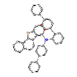 c1ccc(-c2ccc(-c3ccccc3N(c3ccc(-c4ccccc4)cc3)c3cccc4sc5c6ccccc6ccc5c34)cc2)cc1